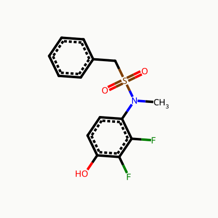 CN(c1ccc(O)c(F)c1F)S(=O)(=O)Cc1ccccc1